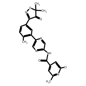 Cc1cc(C(=O)Nc2cnc(-c3cc(C4=NOC(C)(C)C4=O)ccc3C)cn2)cc(Cl)n1